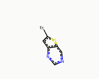 CCc1cc2ncncc2s1